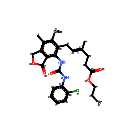 COc1c(C)c2c(c(NC(=O)Nc3ccccc3Cl)c1C/C=C(\C)CCC(=O)OCCC(C)C)C(=O)OC2